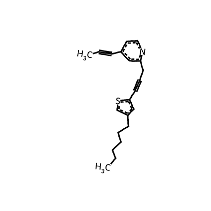 CC#Cc1ccnc(CC#Cc2cc(CCCCCC)cs2)c1